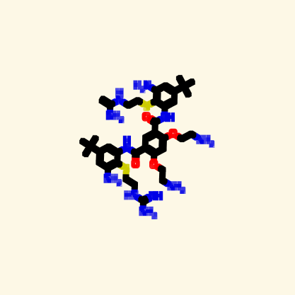 C=C(N)NCCSc1c(N)cc(C(C)(C)C)cc1NC(=O)c1cc(C(=O)Nc2cc(C(C)(C)C)cc(N)c2SCCNC(=N)N)c(OCCN)cc1OCCN